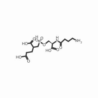 NCCCC(=O)N[C@H](COP(=O)(O)CC(CCC(=O)O)C(=O)O)C(=O)O